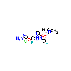 CN(C)CCCOc1cc(F)ccc1NC(=O)c1cccnc1Nc1ccc(Oc2ccnc(N)c2Cl)c(F)c1